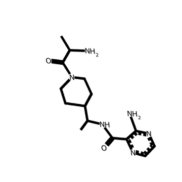 CC(N)C(=O)N1CCC(C(C)NC(=O)c2nccnc2N)CC1